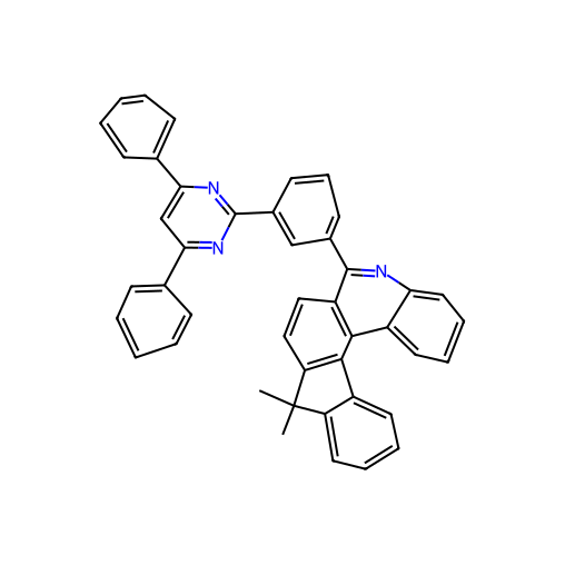 CC1(C)c2ccccc2-c2c1ccc1c(-c3cccc(-c4nc(-c5ccccc5)cc(-c5ccccc5)n4)c3)nc3ccccc3c21